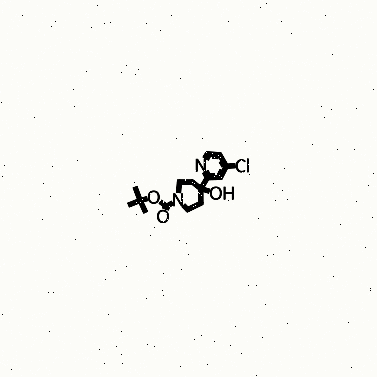 CC(C)(C)OC(=O)N1CCC(O)(c2cc(Cl)ccn2)CC1